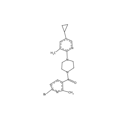 Cc1cc(C2CC2)cnc1N1CCN(C(=O)c2ccc(Br)nc2C)CC1